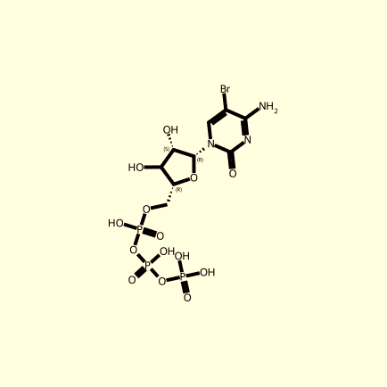 Nc1nc(=O)n([C@@H]2O[C@H](COP(=O)(O)OP(=O)(O)OP(=O)(O)O)C(O)[C@@H]2O)cc1Br